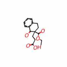 CCOC(=O)C1(CCC(=O)O)CCc2ccccc2C1=O